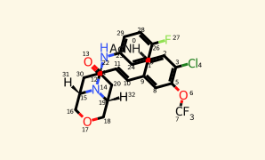 CC(=O)Nc1cc(Cl)c(OC(F)(F)F)cc1/C=C/C(=O)N1[C@@H]2COC[C@H]1C[C@H](Nc1ccc(F)cc1)C2